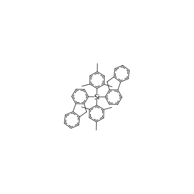 Cc1cc(C)c([Si](c2cccc3c2Cc2ccccc2-3)(c2cccc3c2Cc2ccccc2-3)c2c(C)cc(C)cc2C)c(C)c1